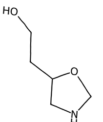 OCCC1CNCO1